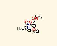 COC(=O)CCc1ccc(Oc2ccccc2)cc1C(=O)NC1(c2cc(C)cc(C)c2)CCOCC1